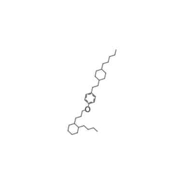 CCCCCC1CCC(CCc2ccc(OCCCC3CCCCC3CCCC)cc2)CC1